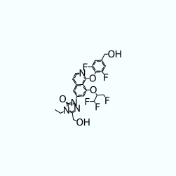 CCn1c(CO)nn(-c2cc(OC(CF)C(F)F)c3c(Oc4c(F)cc(CO)cc4F)nccc3c2)c1=O